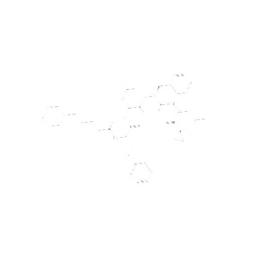 CC(C)CC(NC(=O)[C@H](CCc1ccccc1)NC(=O)CCCCN1CCCCC1)C(=O)N[C@@H](Cc1ccccc1)C(=O)NC(CC(C)C)C(=O)C1(C)CO1